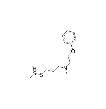 CN(CCCS[SH](C)C)CCOc1ccccc1